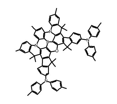 Cc1ccc(N(c2ccc(C)cc2)c2ccc3c(c2)C(C)(C)c2c4c5c6c(c2-3)C(C)(C)c2cc(C)ccc2N6c2cc(C)cc3c2B5c2c(c5c(c6c2N3c2ccc(C)cc2C6(C)C)-c2ccc(N(c3ccc(C)cc3)c3ccc(C)cc3)cc2C5(C)C)O4)cc1